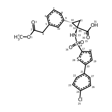 COC(=O)Cc1cccc([C@@H]2C[C@]2(NS(=O)(=O)c2ccc(-c3ccc(Cl)cc3)s2)C(=O)O)c1